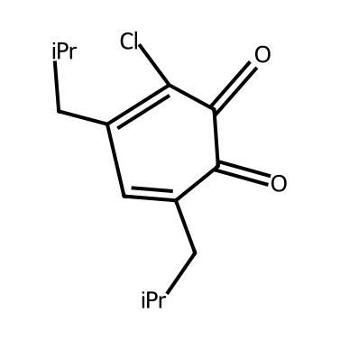 CC(C)CC1=CC(CC(C)C)=C(Cl)C(=O)C1=O